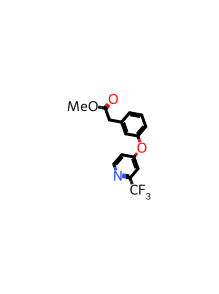 COC(=O)Cc1cccc(Oc2ccnc(C(F)(F)F)c2)c1